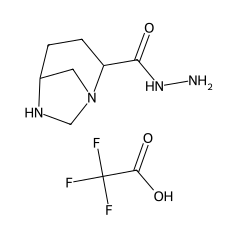 NNC(=O)C1CCC2CN1CN2.O=C(O)C(F)(F)F